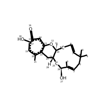 C/C1=C\CC(C)(C)/C=C/C[C@]2(C)Oc3cc(=O)c(O)cc(C)c3C[C@H]2C[C@@H]1O